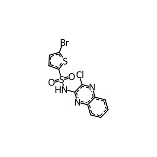 O=S(=O)(Nc1nc2ccccc2nc1Cl)c1ccc(Br)s1